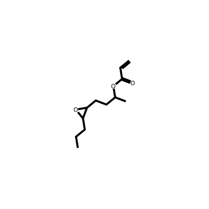 C=CC(=O)OC(C)CCC1OC1CCC